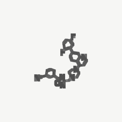 N#Cc1cccc(-c2nc(CN3CCN(c4ccnc5cc(-c6cc(F)ccc6F)ccc45)CC3)no2)c1